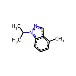 Cc1cccc2c1cnn2C(C)C